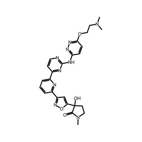 CN(C)CCOc1ccc(Nc2nccc(-c3cccc(-c4cc(C5(O)CCN(C)C5=O)on4)n3)n2)nn1